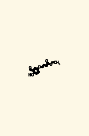 CCOC(=O)CCCOc1ccc(O)c(C=O)c1